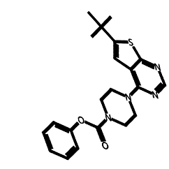 CC(C)(C)c1cc2c(N3CCN(C(=O)Oc4ccccc4)CC3)ncnc2s1